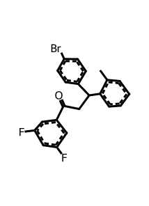 Cc1ccccc1C(CC(=O)c1cc(F)cc(F)c1)c1ccc(Br)cc1